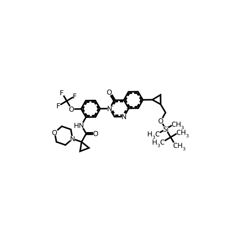 CC(C)(C)[Si](C)(C)OCC1CC1c1ccc2c(=O)n(-c3ccc(OC(F)(F)F)c(NC(=O)C4(N5CCOCC5)CC4)c3)cnc2c1